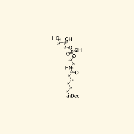 CCCCCCCCCCCCCCCC(=O)NCCOP(=O)(O)OCC(O)CO